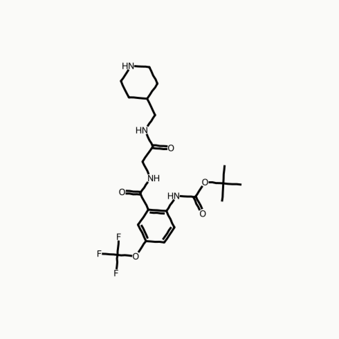 CC(C)(C)OC(=O)Nc1ccc(OC(F)(F)F)cc1C(=O)NCC(=O)NCC1CCNCC1